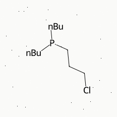 CCCCP(CCCC)CCCCl